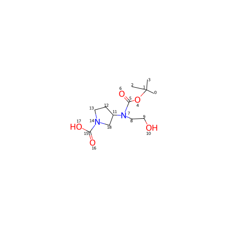 CC(C)(C)OC(=O)N(CCO)C1CCN(C(=O)O)C1